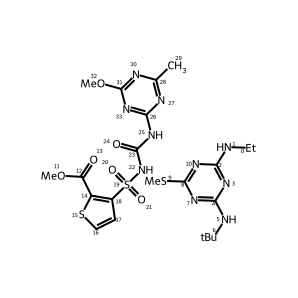 CCNc1nc(NC(C)(C)C)nc(SC)n1.COC(=O)c1sccc1S(=O)(=O)NC(=O)Nc1nc(C)nc(OC)n1